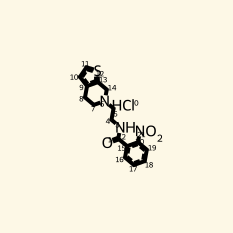 Cl.O=C(NCCN1CCc2ccsc2C1)c1ccccc1[N+](=O)[O-]